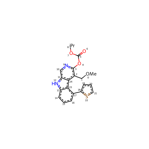 COCc1c(OC(=O)OC(C)C)ncc2[nH]c3cccc(-c4cccs4)c3c12